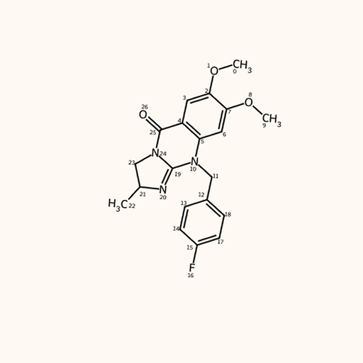 COc1cc2c(cc1OC)N(Cc1ccc(F)cc1)C1=NC(C)CN1C2=O